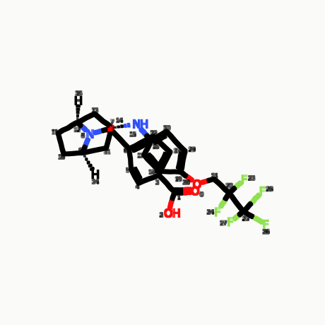 O=C(O)c1ccc(CN2[C@@H]3CC[C@H]2C[C@H](Nc2ccc(OCC(F)(F)C(F)(F)F)cc2)C3)cc1